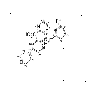 O=C(O)c1nncc(-c2c(F)cccc2F)c1Nc1ccc(N2CCOCC2)cn1